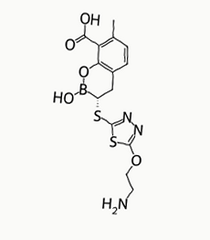 Cc1ccc2c(c1C(=O)O)OB(O)[C@@H](Sc1nnc(OCCN)s1)C2